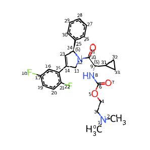 CN(C)CCOC(=O)N[C@H](C(=O)N1CC(c2cc(F)ccc2F)=C[C@H]1c1ccccc1)C1CC1